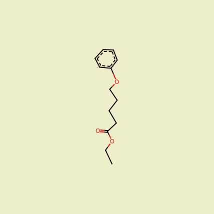 CCOC(=O)CCCCOc1[c]cccc1